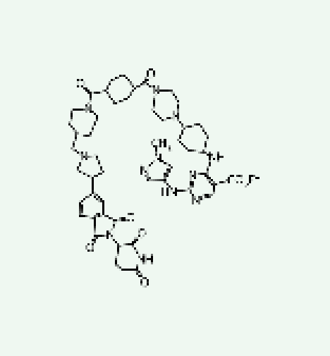 CCOC(=O)c1cnc(Nc2cnn(C)c2)nc1NC1CCC(N2CCN(C(=O)C3CCC(C(=O)N4CCC(CN5CCC(c6ccc7c(c6)C(=O)N(C6CCC(=O)NC6=O)C7=O)C5)CC4)CC3)CC2)CC1